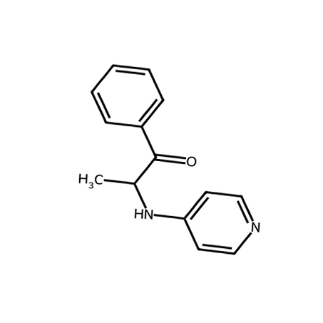 CC(Nc1ccncc1)C(=O)c1ccccc1